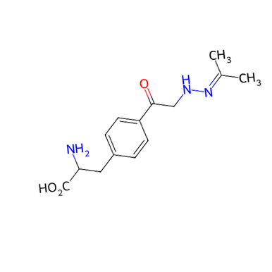 CC(C)=NNCC(=O)c1ccc(CC(N)C(=O)O)cc1